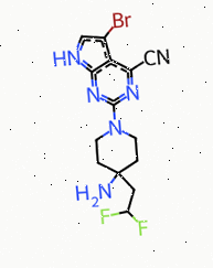 N#Cc1nc(N2CCC(N)(CC(F)F)CC2)nc2[nH]cc(Br)c12